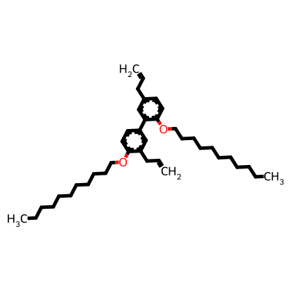 C=CCc1ccc(OCCCCCCCCCCC)c(-c2ccc(OCCCCCCCCCCC)c(CC=C)c2)c1